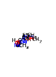 C#C/C(=C\C=C(/C)NC(=O)C(C)n1cccnc1=O)C[C@H](CC)NC[C@H](O)/C(C)=C/C=C\C=C